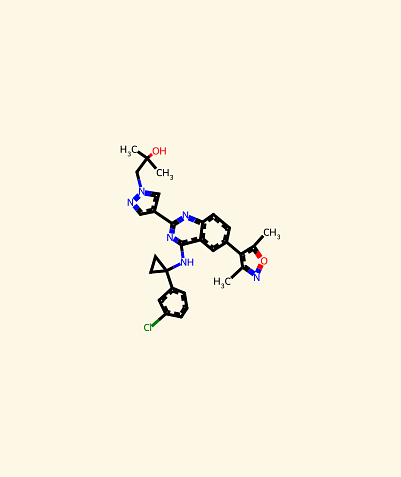 Cc1noc(C)c1-c1ccc2nc(-c3cnn(CC(C)(C)O)c3)nc(NC3(c4cccc(Cl)c4)CC3)c2c1